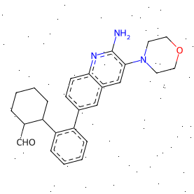 Nc1nc2ccc(-c3ccccc3C3CCCCC3C=O)cc2cc1N1CCOCC1